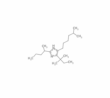 CCCC(C)c1nc(C(C)(C)CC)c(CCCCC(C)C)[nH]1